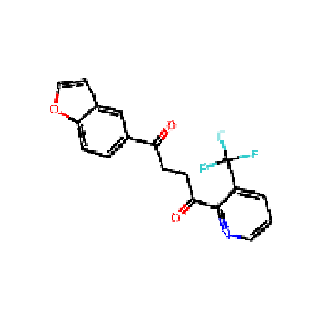 O=C(CCC(=O)c1ncccc1C(F)(F)F)c1ccc2occc2c1